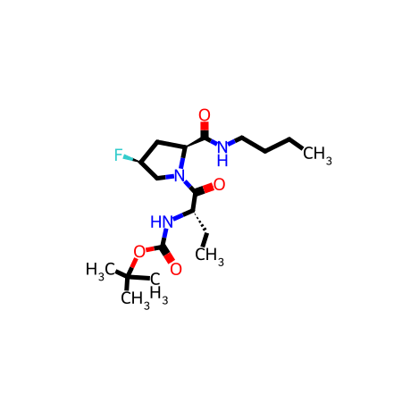 CCCCNC(=O)[C@@H]1C[C@H](F)CN1C(=O)[C@H](CC)NC(=O)OC(C)(C)C